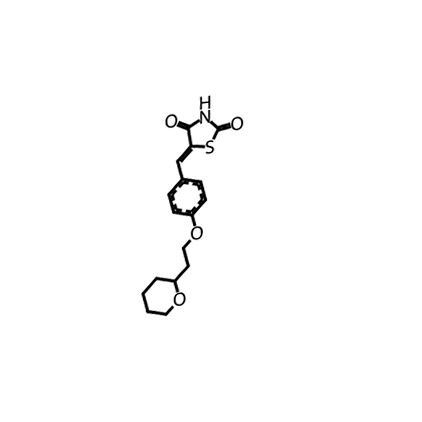 O=C1NC(=O)C(=Cc2ccc(OCCC3CCCCO3)cc2)S1